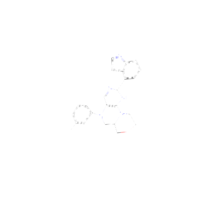 CCc1cccc(N2CC3COCCN3C3=C2C=NC(c2cccc4[nH]ccc24)N3)c1